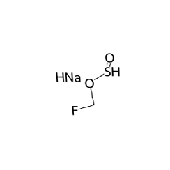 O=[SH]OCF.[NaH]